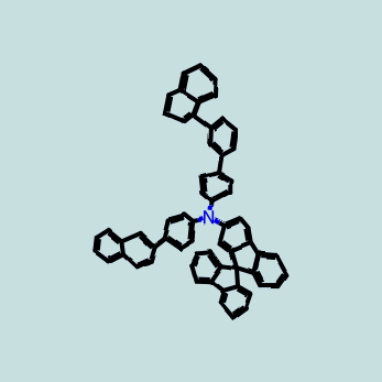 c1cc(-c2ccc(N(c3ccc(-c4ccc5ccccc5c4)cc3)c3ccc4c(c3)C3(c5ccccc5-c5ccccc53)c3ccccc3-4)cc2)cc(-c2cccc3ccccc23)c1